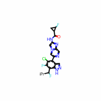 CC(C)C(F)c1c(F)c(Cl)c(-c2cn3cc(NC(=O)C4CC4F)nc3cn2)c2cn[nH]c12